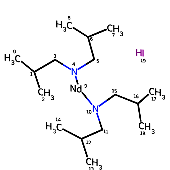 CC(C)C[N](CC(C)C)[Nd][N](CC(C)C)CC(C)C.I